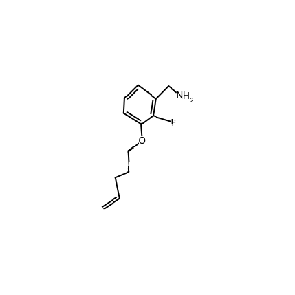 C=CCCCOc1cccc(CN)c1F